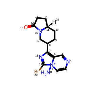 N[N+]12C=CN=CC1=C([C@@H]1CC[C@H]3CCC(=O)N3C1)N=C2Br